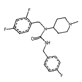 CN1CCC(N(Cc2ccc(F)cc2F)C(=O)NCc2ccc(F)cc2)CC1